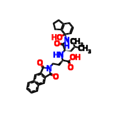 CC(C)C[C@H](N[C@H](CCN1C(=O)c2cc3ccccc3cc2C1=O)C(=O)O)C(=O)N[C@@]1(O)C=CCC2=C1CCC2